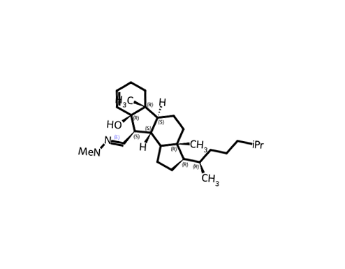 CN/N=C/[C@@H]1[C@H]2C3CC[C@H]([C@H](C)CCCC(C)C)[C@@]3(C)CC[C@@H]2[C@@]2(C)CCC=C[C@@]12O